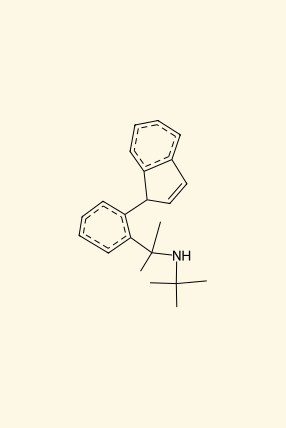 CC(C)(C)NC(C)(C)c1ccccc1C1C=Cc2ccccc21